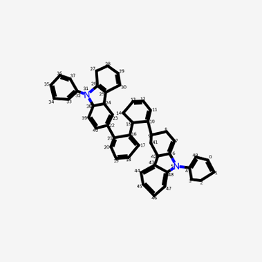 C1=CCCC(N2C3=CCC(C4=CC=CCC4c4ccccc4C4=CC5C6=C(CCC=C6)N(c6ccccc6)C5C=C4)CC3c3ccccc32)=C1